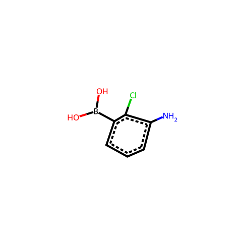 Nc1cccc(B(O)O)c1Cl